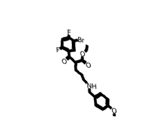 CCOC(=O)C(CCCNCc1ccc(OC)cc1)C(=O)c1cc(Br)c(F)cc1F